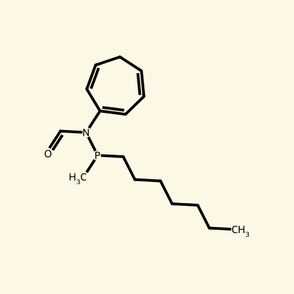 CCCCCCCP(C)N(C=O)C1=CC=CCC=C1